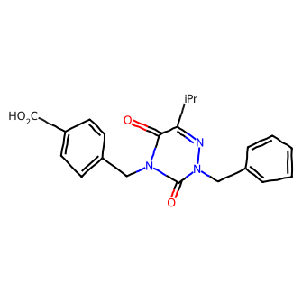 CC(C)c1nn(Cc2ccccc2)c(=O)n(Cc2ccc(C(=O)O)cc2)c1=O